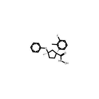 Cc1c(F)cccc1[C@]1(C(=O)NO)CC[C@@](C)(Oc2ccccc2)C1